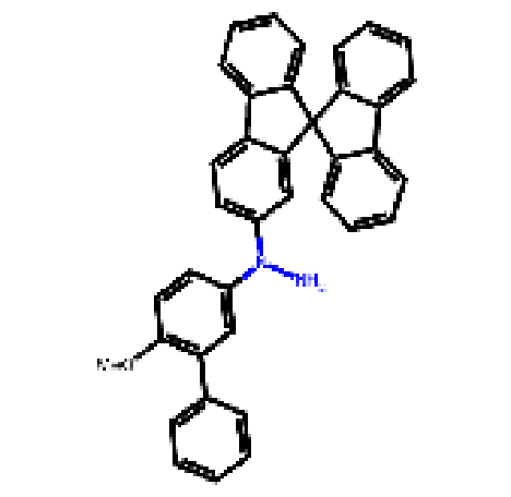 COc1ccc(N(N)c2ccc3c(c2)C2(c4ccccc4-c4ccccc42)c2ccccc2-3)cc1-c1ccccc1